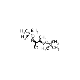 CCC(=NO[Si](C)(C)C)C(C)=NO[Si](C)(C)C